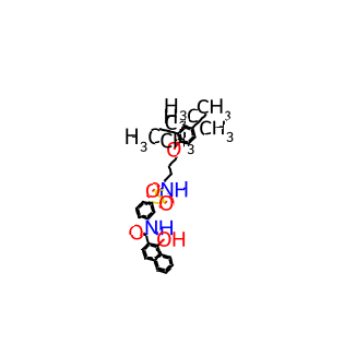 CCC(C)(C)c1ccc(OCCCCNS(=O)(=O)c2cccc(NC(=O)c3ccc4ccccc4c3O)c2)c(C(C)(C)CC)c1